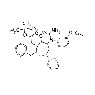 COc1cccc(N(C(N)=O)C2CC(c3ccccc3)CC(Cc3ccccc3)N(CC(=O)OC(C)(C)C)C2=O)c1